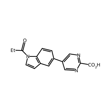 CCC(=O)n1ccc2cc(-c3cnc(C(=O)O)nc3)ccc21